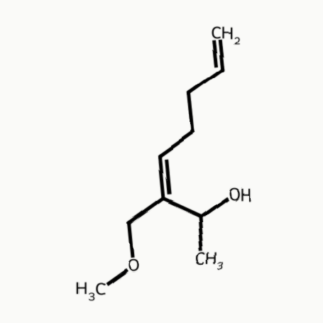 C=CCCC=C(COC)C(C)O